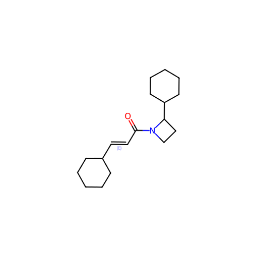 O=C(/C=C/C1CCCCC1)N1CCC1C1CCCCC1